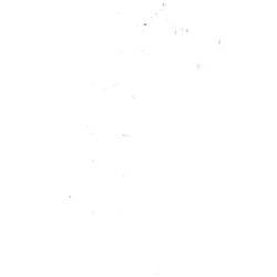 CC(C)Oc1ccc(F)c(-c2ccc(CCC3(F)CC3C(=O)O)cc2)c1